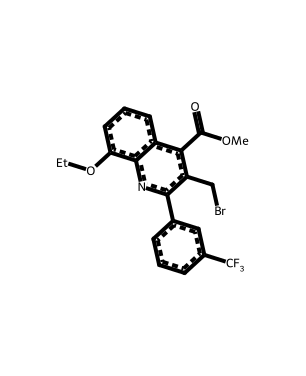 CCOc1cccc2c(C(=O)OC)c(CBr)c(-c3cccc(C(F)(F)F)c3)nc12